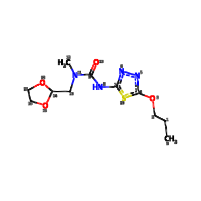 CCCOc1nnc(NC(=O)N(C)CC2OCCO2)s1